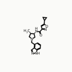 C[C@@H]1CN(Cc2cccc3[nH]ncc23)C[C@@H]1NC(=O)c1cc(C2CC2)on1